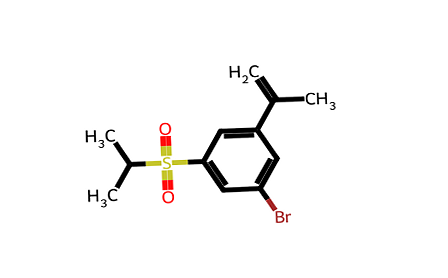 C=C(C)c1cc(Br)cc(S(=O)(=O)C(C)C)c1